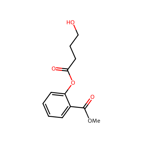 COC(=O)c1ccccc1OC(=O)CCCO